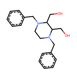 OCC1C(CO)N(Cc2ccccc2)CCN1Cc1ccccc1